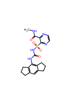 CNC(=O)c1nccnc1S(=O)(=O)NC(=O)Nc1c2c(cc3c1CCC3)CCC2